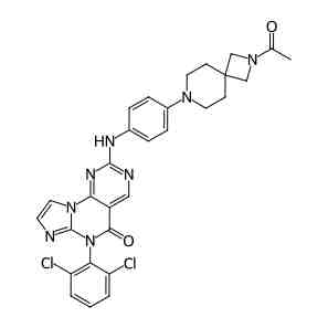 CC(=O)N1CC2(CCN(c3ccc(Nc4ncc5c(=O)n(-c6c(Cl)cccc6Cl)c6nccn6c5n4)cc3)CC2)C1